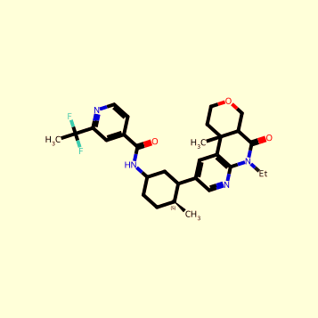 CCN1C(=O)C2COCCC2(C)c2cc(C3CC(NC(=O)c4ccnc(C(C)(F)F)c4)CC[C@@H]3C)cnc21